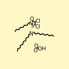 CCCCCCCCCC[N+](C)(C)CCCCCCCCCC.CCCCCCCCN1SC(Cl)C(Cl)C1=O.O=C([O-])O